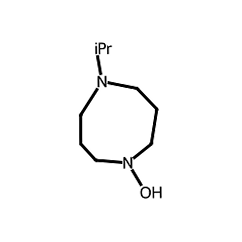 CC(C)N1CCCN(O)CCC1